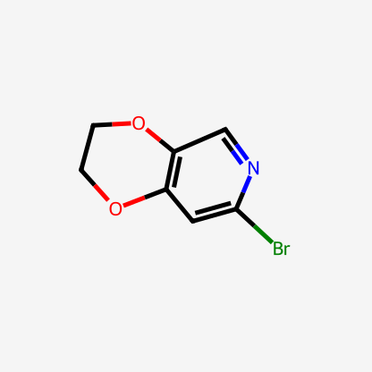 Brc1cc2c(cn1)OCCO2